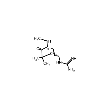 CN[C@H](CCCNC(=N)N)C(=O)C(C)(C)C